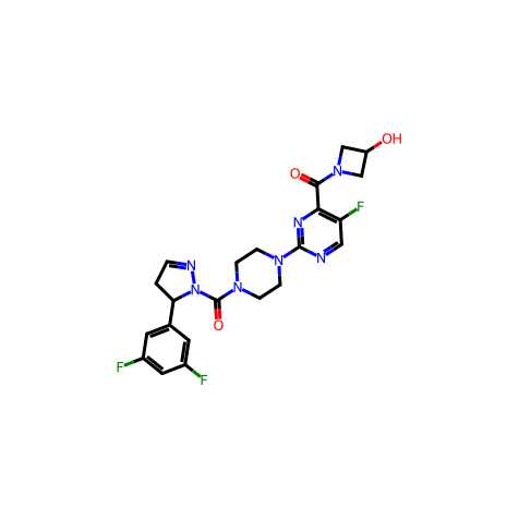 O=C(c1nc(N2CCN(C(=O)N3N=CCC3c3cc(F)cc(F)c3)CC2)ncc1F)N1CC(O)C1